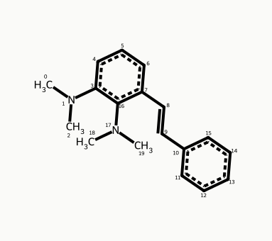 CN(C)c1cccc(C=Cc2ccccc2)c1N(C)C